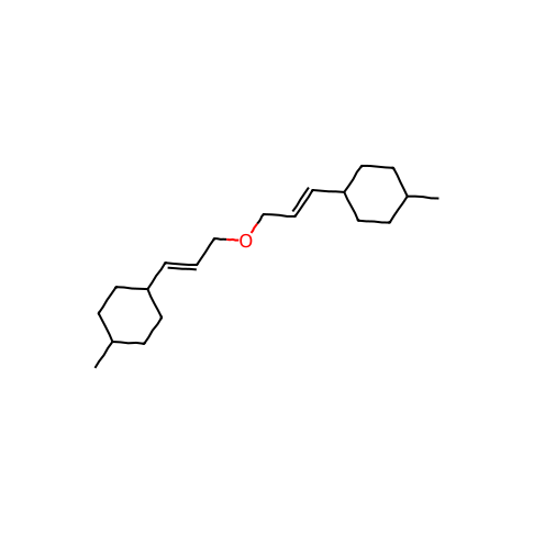 CC1CCC(C=CCOCC=CC2CCC(C)CC2)CC1